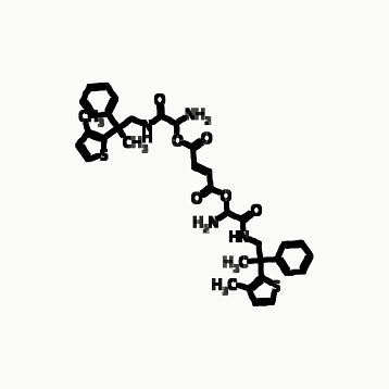 Cc1ccsc1C(C)(CNC(=O)C(N)OC(=O)/C=C/C(=O)OC(N)C(=O)NCC(C)(c1ccccc1)c1sccc1C)c1ccccc1